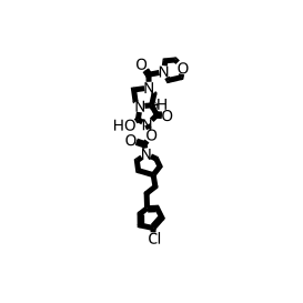 O=C(ON1C(=O)[C@@H]2CN(C(=O)N3CCOCC3)CCN2C1O)N1CCC(CCc2ccc(Cl)cc2)CC1